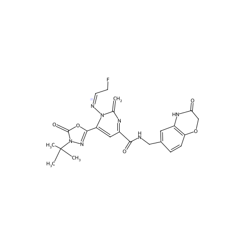 C=C1N=C(C(=O)NCc2ccc3c(c2)NC(=O)CO3)C=C(c2nn(C(C)(C)C)c(=O)o2)N1/N=C\CF